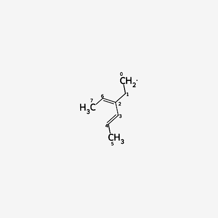 [CH2]CC(C=CC)=CC